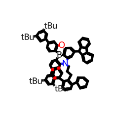 CC(C)(C)c1cc(-c2ccc3c(c2)Oc2cc(C4c5ccccc5-c5ccccc54)cc4c2B3c2ccc(-c3cc(C(C)(C)C)cc(C(C)(C)C)c3)cc2N4CCCc2c(-c3ccccc3)cccc2-c2ccccc2)cc(C(C)(C)C)c1